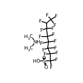 CNC.O=S(=O)(O)C(F)(F)C(F)(F)C(F)(F)C(F)(F)C(F)(F)C(F)(F)C(F)C(F)(F)F